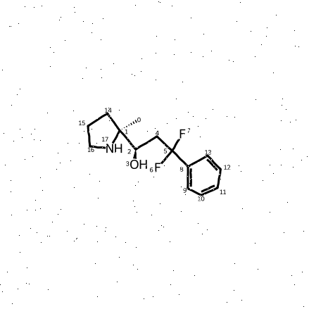 C[C@@]1([C@H](O)CC(F)(F)c2ccccc2)CCCN1